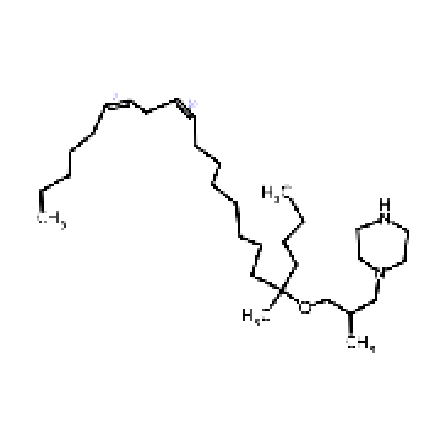 CCCCC/C=C\C/C=C\CCCCCCCC(C)(CCCC)OCC(C)CN1CCNCC1